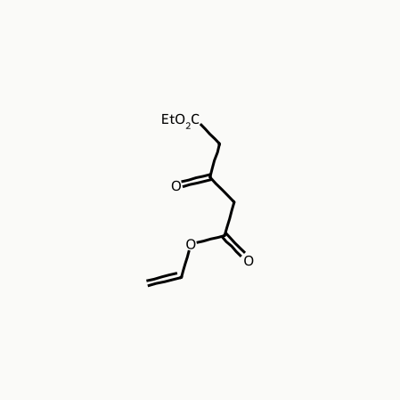 C=COC(=O)CC(=O)CC(=O)OCC